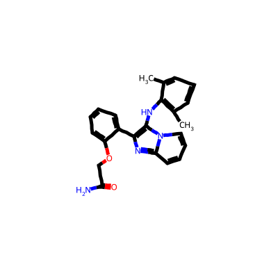 Cc1cccc(C)c1Nc1c(-c2ccccc2OCC(N)=O)nc2ccccn12